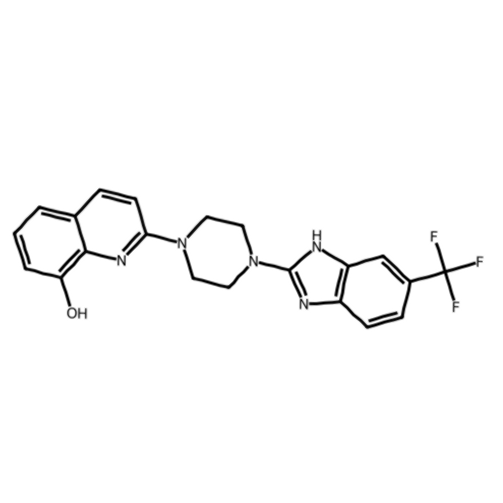 Oc1cccc2ccc(N3CCN(c4nc5ccc(C(F)(F)F)cc5[nH]4)CC3)nc12